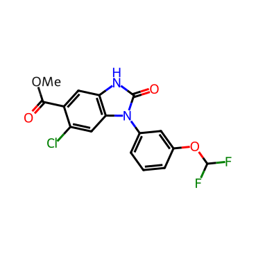 COC(=O)c1cc2[nH]c(=O)n(-c3cccc(OC(F)F)c3)c2cc1Cl